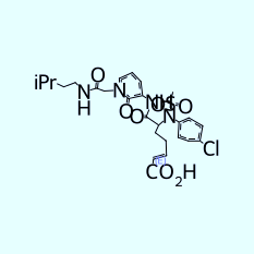 CC(C)CCNC(=O)Cn1cccc(NC(=O)C(CC/C=C/C(=O)O)N(c2ccc(Cl)cc2)S(C)(=O)=O)c1=O